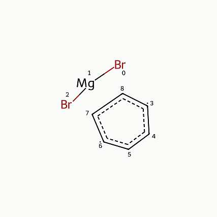 [Br][Mg][Br].[c]1cc[c]cc1